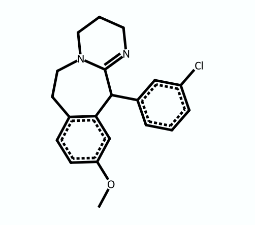 COc1ccc2c(c1)C(c1cccc(Cl)c1)C1=NCCCN1CC2